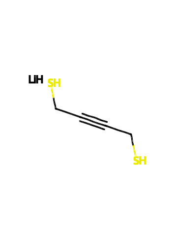 SCC#CCS.[LiH]